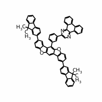 CC1(C)c2ccccc2-c2ccc(-c3ccc4oc5c(-c6cccc(-c7cnc8c9ccccc9c9ccccc9c8n7)c6)c6c(cc5c4c3)oc3ccc(-c4ccc5c(c4)C(C)(C)c4ccccc4-5)cc36)cc21